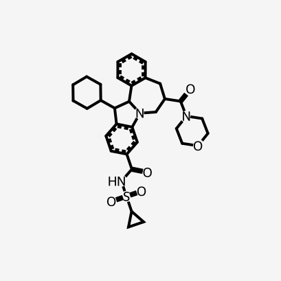 O=C(NS(=O)(=O)C1CC1)c1ccc2c(c1)N1CC(C(=O)N3CCOCC3)Cc3ccccc3C1C2C1CCCCC1